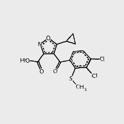 CSc1c(C(=O)c2c(C(=O)O)noc2C2CC2)ccc(Cl)c1Cl